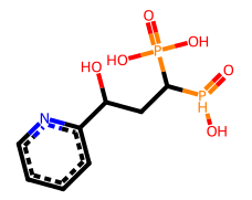 O=[PH](O)C(CC(O)c1ccccn1)P(=O)(O)O